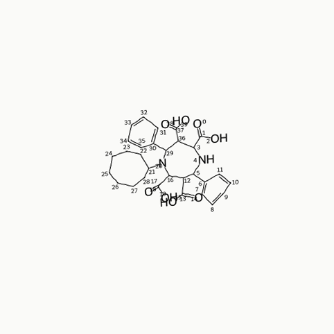 O=C(O)C1NC(c2ccccc2)C(C(=O)O)C(C(=O)O)N(C2CCCCCCC2)C(c2ccccc2)C1C(=O)O